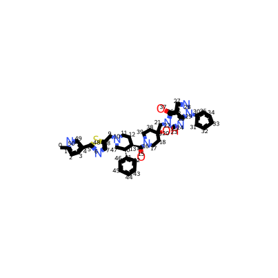 Cc1ccc(-c2ncc(CN3CC[C@@H](C(=O)N4CCC(O)(Cn5cnc6c(cnn6-c6ccccc6)c5=O)CC4)[C@H](c4ccccc4)C3)s2)cn1